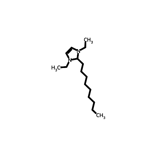 CCCCCCCCCC1N(CC)C=CN1CC